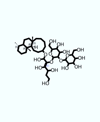 C[C@H]1CCC[C@]2(C)C1CC[C@]1(C)CCCCC(OC(O)/C(OC3OC(CO)C(O)C(O)C3OC3OC(CO)C(O)C(O)C3O)=C(\O)C(O)CCO)CC[C@H]12